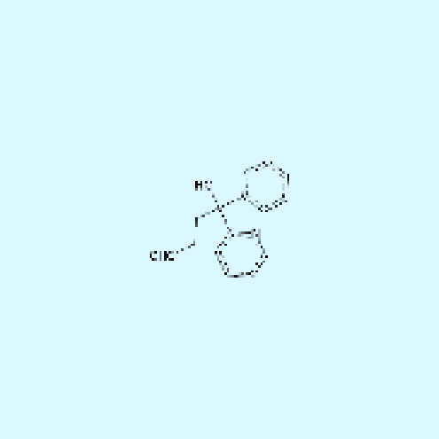 O=CCCC(O)(c1ccccc1)c1ccccn1